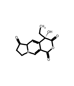 CC[C@@]1(O)C(=O)OC(=O)C2=CN3CCC(=O)C3C=C21